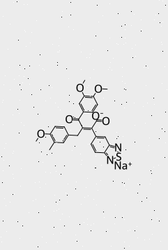 COc1ccc(CC(C(=O)c2ccc(OC)c(OC)c2)=C(C(=O)[O-])c2ccc3nsnc3c2)cc1C.[Na+]